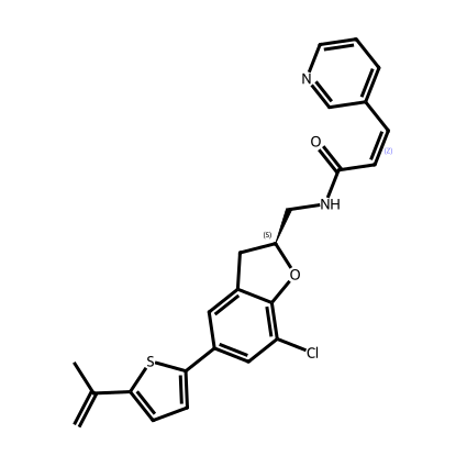 C=C(C)c1ccc(-c2cc(Cl)c3c(c2)C[C@@H](CNC(=O)/C=C\c2cccnc2)O3)s1